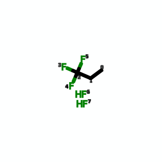 CCC(F)(F)F.F.F